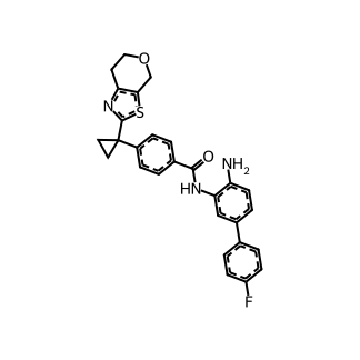 Nc1ccc(-c2ccc(F)cc2)cc1NC(=O)c1ccc(C2(c3nc4c(s3)COCC4)CC2)cc1